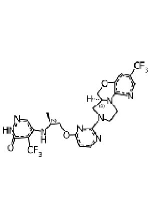 C[C@@H](COc1ccnc(N2CCN3c4ncc(C(F)(F)F)cc4OC[C@@H]3C2)n1)Nc1cn[nH]c(=O)c1C(F)(F)F